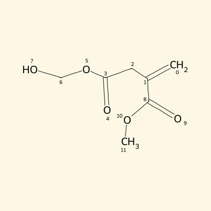 C=C(CC(=O)OCO)C(=O)OC